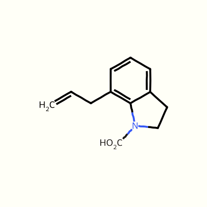 C=CCc1cccc2c1N(C(=O)O)CC2